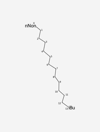 [CH2]CCCCCCCCCCCCCCCCCCCCC(C)C[CH2]